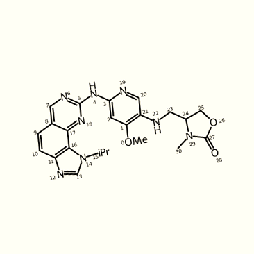 COc1cc(Nc2ncc3ccc4ncn(C(C)C)c4c3n2)ncc1NCC1COC(=O)N1C